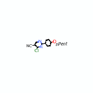 CCCCCOc1ccc(-c2ncc(C#N)c(Cl)n2)cc1